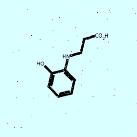 O=C(O)CCNc1ccccc1O